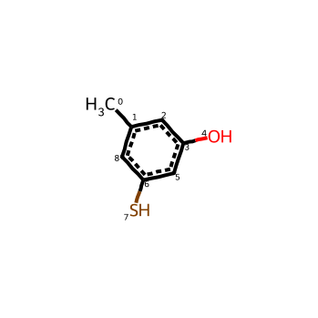 Cc1cc(O)cc(S)c1